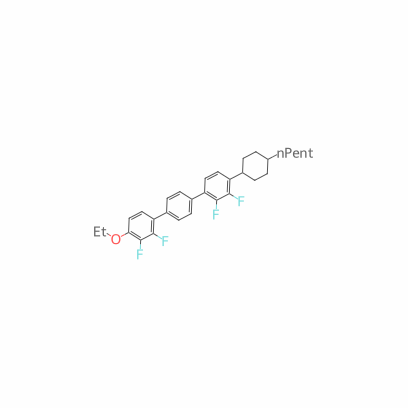 CCCCCC1CCC(c2ccc(-c3ccc(-c4ccc(OCC)c(F)c4F)cc3)c(F)c2F)CC1